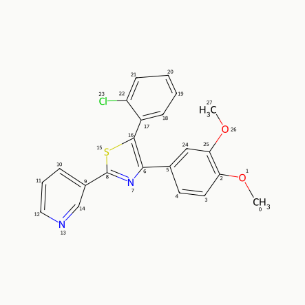 COc1ccc(-c2nc(-c3cccnc3)sc2-c2ccccc2Cl)cc1OC